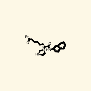 CCC(=O)CCCCC[C@@H](C(=O)Nc1ccc2ccccc2c1)N1C=CNC1